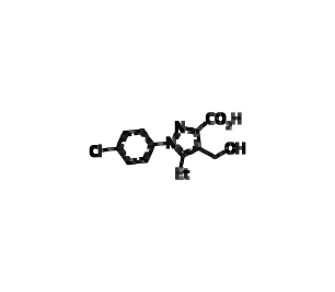 CCc1c(CO)c(C(=O)O)nn1-c1ccc(Cl)cc1